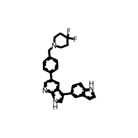 FC1(F)CCN(Cc2ccc(-c3cnc4[nH]cc(-c5ccc6[nH]ccc6c5)c4c3)cc2)CC1